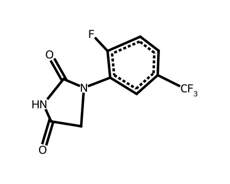 O=C1CN(c2cc(C(F)(F)F)ccc2F)C(=O)N1